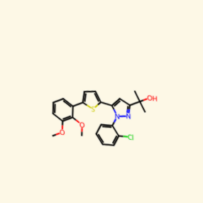 COc1cccc(-c2ccc(-c3cc(C(C)(C)O)nn3-c3ccccc3Cl)s2)c1OC